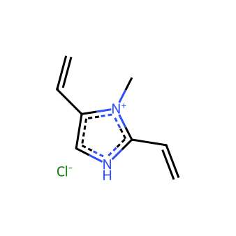 C=Cc1c[nH]c(C=C)[n+]1C.[Cl-]